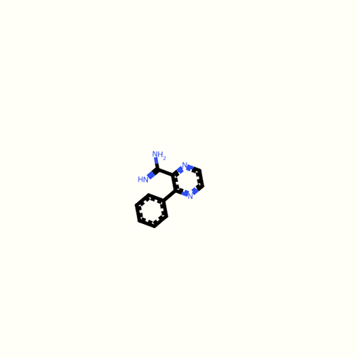 N=C(N)c1nccnc1-c1ccccc1